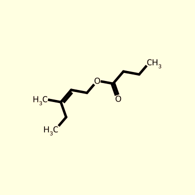 CCCC(=O)OCC=C(C)CC